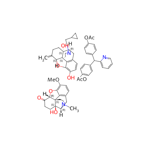 C=C1CC[C@@]2(O)[C@H]3Cc4ccc(O)c5c4[C@@]2(CCN3CC2CC2)[C@H]1O5.CC(=O)Oc1ccc(C(c2ccc(OC(C)=O)cc2)c2ccccn2)cc1.COc1ccc2c3c1O[C@H]1C(=O)CC[C@@]4(O)[C@@H](C2)N(C)CC[C@]314